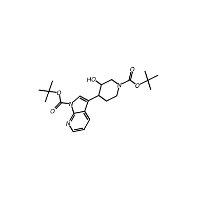 CC(C)(C)OC(=O)N1CCC(c2cn(C(=O)OC(C)(C)C)c3ncccc23)C(O)C1